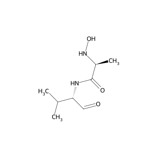 CC(C)[C@@H](C=O)NC(=O)[C@H](C)NO